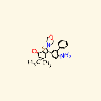 CC1(C)CC(=O)c2sc(N3CCOCC3)c(-c3ccc(N)c(-c4ccccc4)c3)c2C1